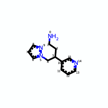 NCCC(Cn1cccn1)c1cccnc1